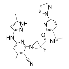 Cc1cc(Nc2cc(C)c(C#N)c(N3CC(F)(C(=O)N[C@@H](C)c4ccc(-n5cccn5)nc4)C3)n2)n[nH]1